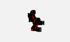 O=C(NS(=O)(=O)c1ccc(NC[C@H]2COCCO2)c([N+](=O)[O-])c1)c1ccc(N2CCN(CC3=C(c4ccc(Cl)cc4)CC4(CCC4)CC3)CC2)nc1N1CCCOc2nc3[nH]ccc3cc21